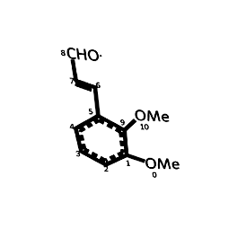 COc1cccc(/C=C/[C]=O)c1OC